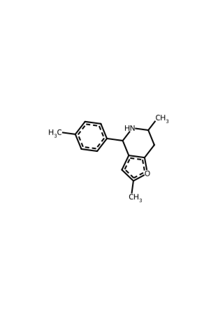 Cc1ccc(C2NC(C)Cc3oc(C)cc32)cc1